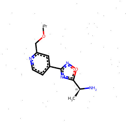 CC(C)OCc1cc(-c2noc([C@H](C)N)n2)ccn1